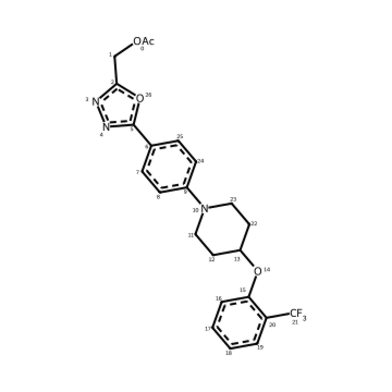 CC(=O)OCc1nnc(-c2ccc(N3CCC(Oc4ccccc4C(F)(F)F)CC3)cc2)o1